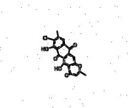 Cc1cc(=O)c2c(O)c3c(cc2o1)C(=O)c1cc(C)c(Cl)c(O)c1C3=O